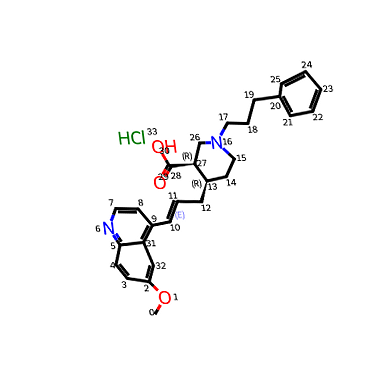 COc1ccc2nccc(/C=C/C[C@@H]3CCN(CCCc4ccccc4)C[C@@H]3C(=O)O)c2c1.Cl